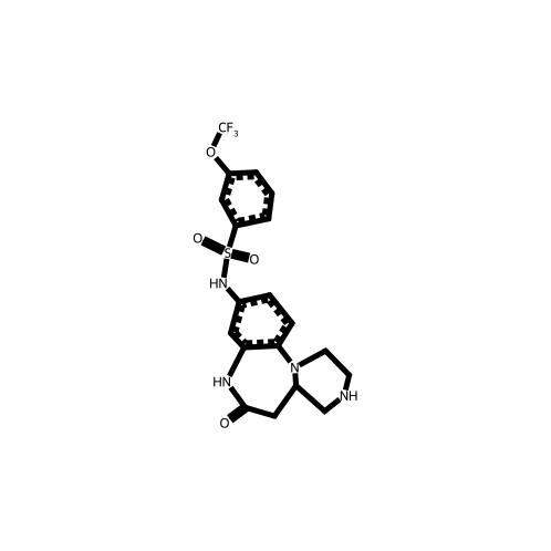 O=C1CC2CNCCN2c2ccc(NS(=O)(=O)c3cccc(OC(F)(F)F)c3)cc2N1